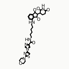 O=C1CCC(C2C(=O)c3cccc(NCCCCCCNC(=O)c4cn(-c5csc(N6CCOCC6)n5)cn4)c3C2=O)C(=O)N1